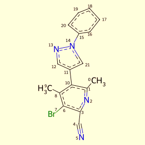 Cc1nc(C#N)c(Br)c(C)c1-c1cnn(-c2ccccc2)c1